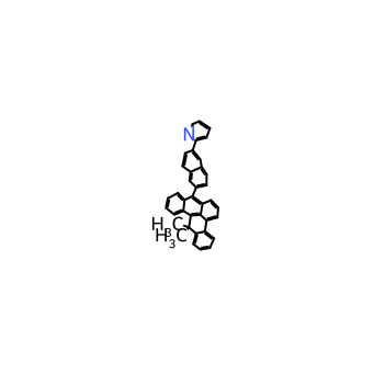 CC1(C)c2ccccc2-c2cccc3c(-c4ccc5cc(-c6ccccn6)ccc5c4)c4ccccc4c1c23